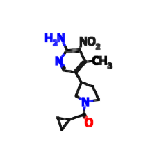 Cc1c(C2CCN(C(=O)C3CC3)C2)cnc(N)c1[N+](=O)[O-]